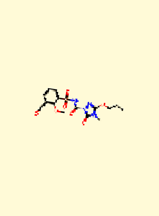 CCCOc1nn(C(=O)NS(=O)(=O)C2=CC=CC(=C=O)C2OC)c(=O)n1C